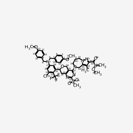 COc1ccc(CN(Cc2ccc(OC)cc2)c2cc(Cl)c(C(F)(F)F)c(C3Cc4nc(S(C)(=O)=O)nc(N5CCCn6nc(C(=O)N(C)OC)c(C)c6C5)c4CO3)c2)cc1